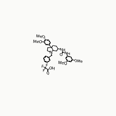 COc1cc(NC(=O)NC2CCC3(c4ccc(OC)c(OC)c4)CCN(Cc4ccccc4)C3C2)cc(OC)c1.O=C(O)C(F)(F)F